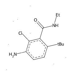 CCNC(=O)c1c(C(C)(C)C)ccc(N)c1Cl